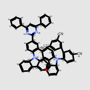 N#Cc1cc(C#N)cc(-c2cc(C#N)ccc2-n2c3ccccc3c3cc(-c4cc(-c5nc(-c6ccccc6)cc(-c6ccccc6)n5)ccc4-n4c5ccccc5c5ccccc54)ccc32)c1